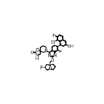 CCc1c(F)ccc2cc(O)cc(-c3ccc4c(N5CCCC6(CNC(=O)O6)C5)nc(OC[C@@]56CCCN5C[C@H](F)C6)nc4c3F)c12